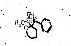 C[SiH](C)C1(C(Cl)c2ccccc2)CCCCO1